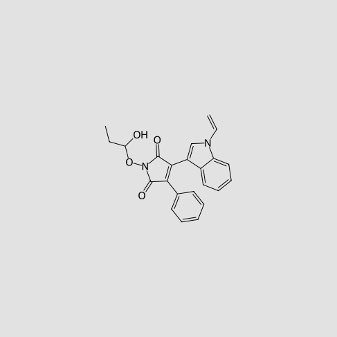 C=Cn1cc(C2=C(c3ccccc3)C(=O)N(OC(O)CC)C2=O)c2ccccc21